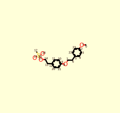 COc1ccc(CCOc2ccc(CCOS(C)(=O)=O)cc2)cc1